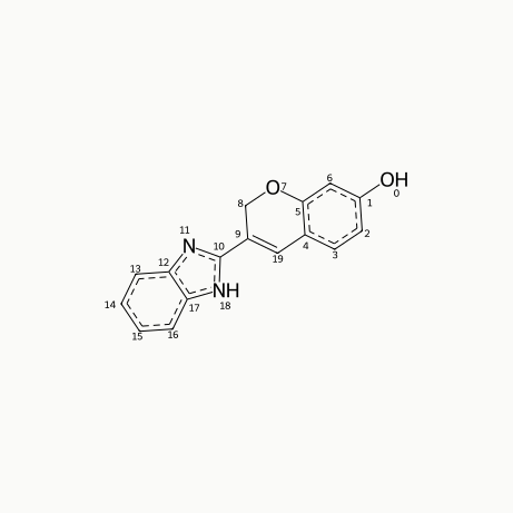 Oc1ccc2c(c1)OCC(c1nc3ccccc3[nH]1)=C2